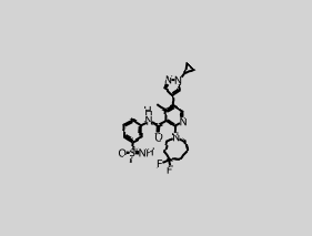 Cc1c(-c2cnn(C3CC3)c2)cnc(N2CCCC(F)(F)CC2)c1C(=O)Nc1cccc([S@](C)(=N)=O)c1